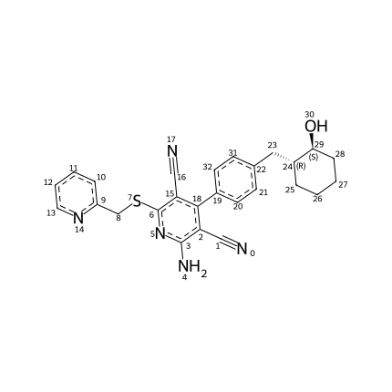 N#Cc1c(N)nc(SCc2ccccn2)c(C#N)c1-c1ccc(C[C@H]2CCCC[C@@H]2O)cc1